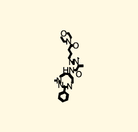 C=C(C(=O)Nc1ccnc(-c2ccccc2)nn(C)cc1)N(C)/N=C\CCC(=O)N1CCOCC1